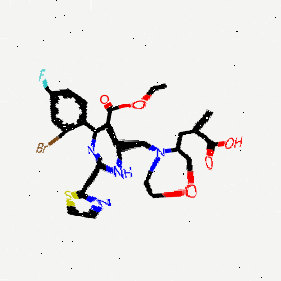 CCOC(=O)C1=C(CN2CCOCC2CC(C)C(=O)O)NC(c2nccs2)=NC1c1ccc(F)cc1Br